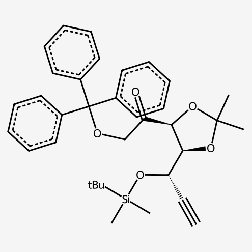 C#C[C@H](O[Si](C)(C)C(C)(C)C)[C@@H]1OC(C)(C)O[C@@H]1C(=O)COC(c1ccccc1)(c1ccccc1)c1ccccc1